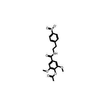 COc1cc(C(=O)NCCc2ccc([N+](=O)[O-])cc2)cc(OC)c1OC(C)=O